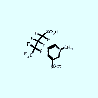 CCCCCCCCC1=CC=CN(C)C1.O=S(=O)(O)C(F)(F)C(F)(F)C(F)(F)C(F)(F)F